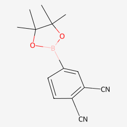 CC1(C)OB(c2ccc(C#N)c(C#N)c2)OC1(C)C